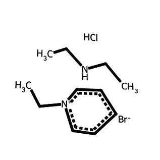 CCNCC.CC[n+]1ccccc1.Cl.[Br-]